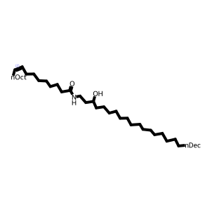 CCCCCCCC/C=C\CCCCCCCC(=O)NCCC(O)CCCCCCCCCCCCCCCCCCCCCCCCC